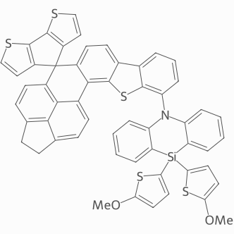 COc1ccc([Si]2(c3ccc(OC)s3)c3ccccc3N(c3cccc4c3sc3c5c(ccc34)C3(c4ccsc4-c4sccc43)c3ccc4c6c(ccc-5c36)CC4)c3ccccc32)s1